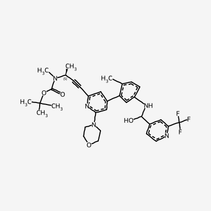 Cc1ccc(NC(O)c2ccnc(C(F)(F)F)c2)cc1-c1cc(C#C[C@H](C)N(C)C(=O)OC(C)(C)C)nc(N2CCOCC2)c1